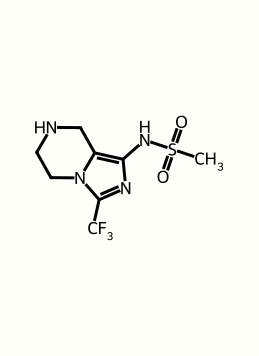 CS(=O)(=O)Nc1nc(C(F)(F)F)n2c1CNCC2